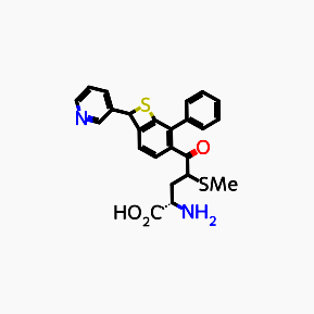 CSC(C[C@H](N)C(=O)O)C(=O)c1ccc2c(c1-c1ccccc1)SC2c1cccnc1